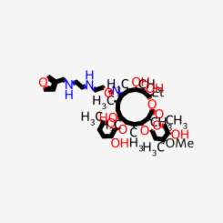 CC[C@H]1OC(=O)[C@H](C)[C@@H](O[C@H]2C[C@@](C)(OC)[C@H](O)[C@H](C)O2)[C@H](C)[C@H](O[C@@H]2O[C@H](C)CC[C@@H]2O)[C@](C)(O)C[C@@H](C)/C(=N\OCCNCCNCc2ccoc2)[C@H](C)[C@H](O)[C@]1(C)O